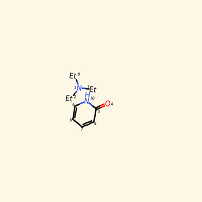 CCN(CC)CC.O=c1cccc[nH]1